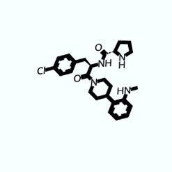 CNc1ccccc1C1CCN(C(=O)[C@@H](Cc2ccc(Cl)cc2)NC(=O)[C@@H]2CCCN2)CC1